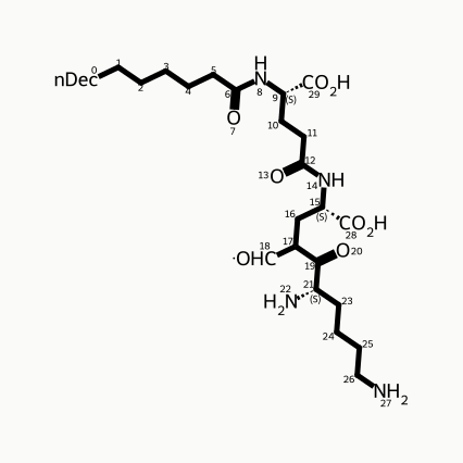 CCCCCCCCCCCCCCCC(=O)N[C@@H](CCC(=O)N[C@@H](CC([C]=O)C(=O)[C@@H](N)CCCCN)C(=O)O)C(=O)O